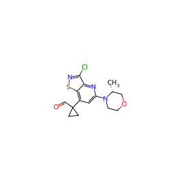 C[C@@H]1COCCN1c1cc(C2(C=O)CC2)c2snc(Cl)c2n1